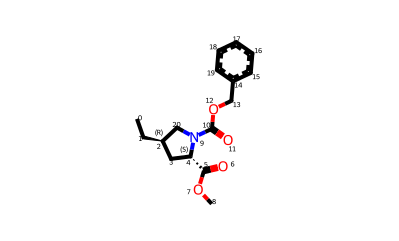 CC[C@@H]1C[C@@H](C(=O)OC)N(C(=O)OCc2ccccc2)C1